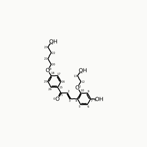 O=C(/C=C/c1ccc(O)cc1OCCO)c1ccc(OCCCCO)cc1